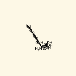 [N-]=[N+]=NCCOCCOCCOCCOCCC(=O)NCCCC1=CN([C@@H]2O[C@H](CO)C(O)C2O)C(O)N=C1N